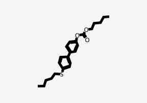 CCCCCOC(=O)Oc1ccc(-c2ccc(SCCCCC)cc2)cc1